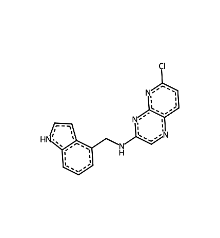 Clc1ccc2ncc(NCc3cccc4[nH]ccc34)nc2n1